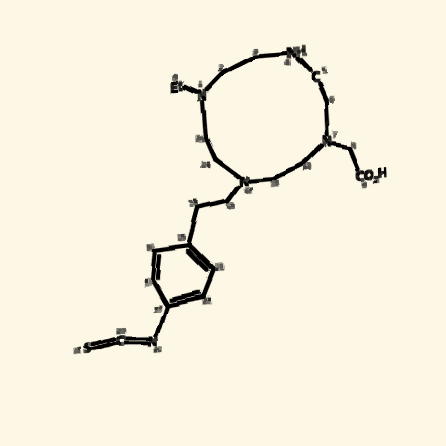 CCN1CCNCCN(CC(=O)O)CCN(CCc2ccc(N=C=S)cc2)CC1